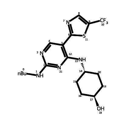 CCCCNc1ncc(-c2ncc(C(F)(F)F)s2)c(N[C@H]2CC[C@H](O)CC2)n1